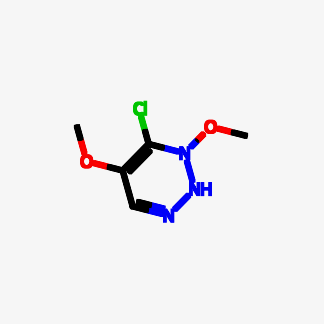 COC1=C(Cl)N(OC)NN=C1